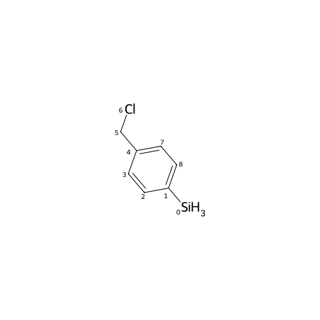 [SiH3]c1ccc(CCl)cc1